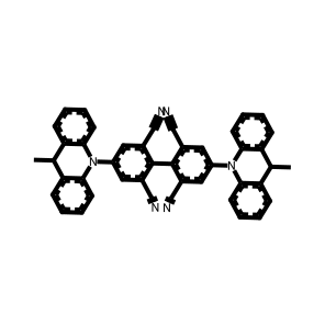 CC1c2ccccc2N(c2cc(C#N)c(-c3c(C#N)cc(N4c5ccccc5C(C)c5ccccc54)cc3C#N)c(C#N)c2)c2ccccc21